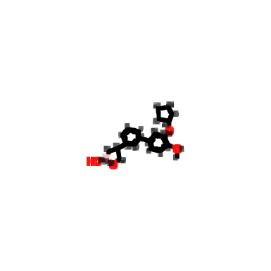 COc1ccc(-c2cccc(C3COB(O)C3)c2)cc1OC1CCCC1